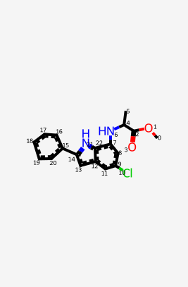 COC(=O)C(C)Nc1cc(Cl)cc2cc(-c3ccccc3)[nH]c12